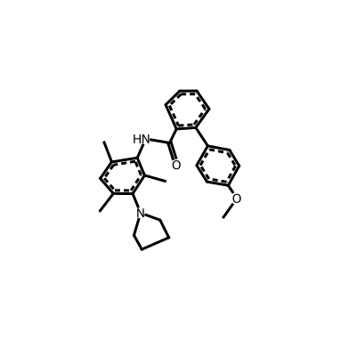 COc1ccc(-c2ccccc2C(=O)Nc2c(C)cc(C)c(N3CCCC3)c2C)cc1